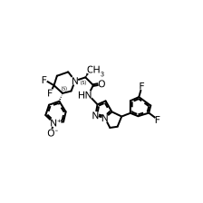 C[C@@H](C(=O)Nc1cc2n(n1)CCC2c1cc(F)cc(F)c1)N1CCC(F)(F)[C@@H](c2cc[n+]([O-])cc2)C1